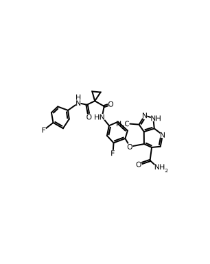 Cc1n[nH]c2ncc(C(N)=O)c(Oc3ccc(NC(=O)C4(C(=O)Nc5ccc(F)cc5)CC4)cc3F)c12